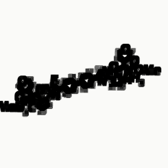 COC(=O)N[C@H](C(=O)N1[C@@H](C)CC[C@H]1c1nc(-c2ccc(-c3ccc(-c4nc([C@@H]5CC[C@H](C)N5C(=O)[C@@H](NC(=O)OC)C5CCOCC5)[nH]c4F)cc3)cc2)c[nH]1)C1CCOCC1